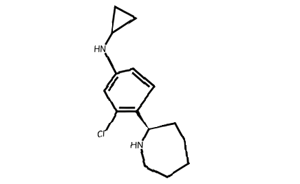 Clc1cc(NC2CC2)ccc1[C@H]1CCCCCN1